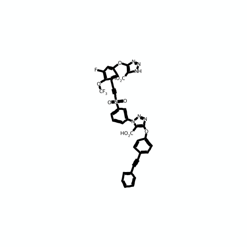 O=C(O)c1[nH]nnc1Oc1cc(F)c(OC(F)(F)F)c(C#CS(=O)(=O)c2cccc(-n3nnc(Oc4ccc(C#Cc5ccccc5)cc4)c3C(=O)O)c2)c1